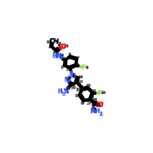 C=CC(=O)Nc1ccc(F)c(-n2cc(-c3ccc(C(N)=O)c(F)c3)c(N)n2)c1